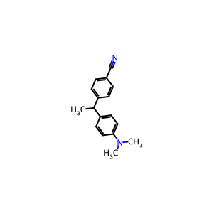 CC(c1ccc(C#N)cc1)c1ccc(N(C)C)cc1